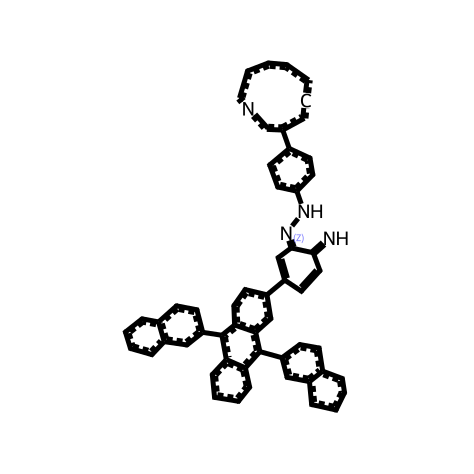 N=C1C=CC(c2ccc3c(-c4ccc5ccccc5c4)c4ccccc4c(-c4ccc5ccccc5c4)c3c2)=C/C1=N/Nc1ccc(-c2cccccccnc2)cc1